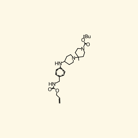 C=CCOC(=O)NCc1ccc(NC2CCN(C3(C)CCN(C(=O)OC(C)(C)C)CC3)CC2)cc1